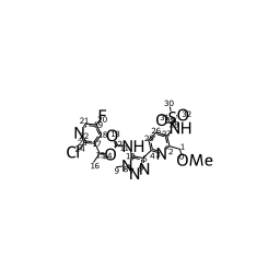 COCc1nc(-c2nnn(C)c2NC(=O)OC(C)c2cc(F)cnc2Cl)ccc1NS(C)(=O)=O